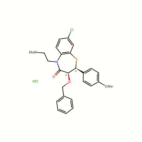 CNCCN1C(=O)[C@H](OCc2ccccc2)[C@H](c2ccc(OC)cc2)Sc2cc(Cl)ccc21.Cl